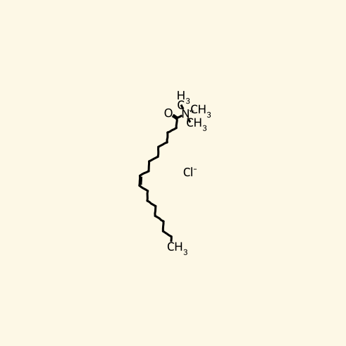 CCCCCCCC/C=C\CCCCCCCC(=O)[N+](C)(C)C.[Cl-]